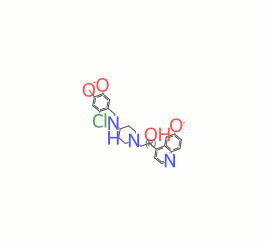 COc1ccc2nccc([C@@H](O)CN3CCC(NCc4cc5c(cc4Cl)OCO5)CC3)c2c1